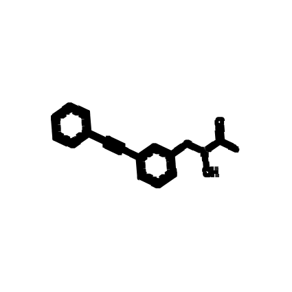 CC(=O)N(O)Cc1cccc(C#Cc2ccccc2)c1